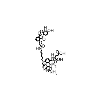 Nc1nc(N)c2nc(CN(CCCCCCNC(=O)COc3cccc4c3C(=O)N(C3CCC(O)NC3=O)C4=O)c3ccc(C(=O)NC(CCC(=O)O)C(=O)O)cc3)cnc2n1